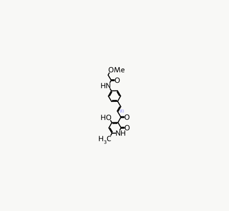 COCC(=O)Nc1ccc(/C=C/C(=O)c2c(O)cc(C)[nH]c2=O)cc1